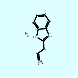 C=CCc1nc2ccccc2[nH]1.I